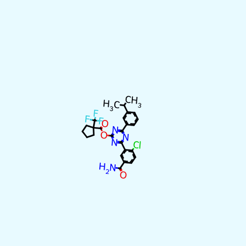 CC(C)c1cccc(-c2nc(OC(=O)C3(C(F)(F)F)CCCC3)nc(-c3cc(C(N)=O)ccc3Cl)n2)c1